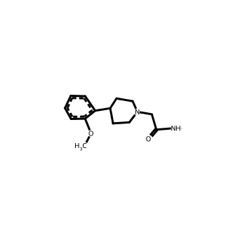 COc1ccccc1C1CCN(CC([NH])=O)CC1